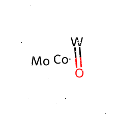 [Co].[Mo].[O]=[W]